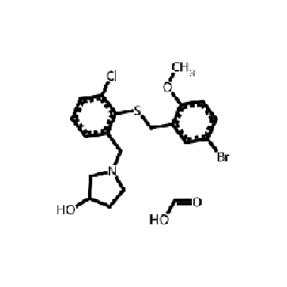 COc1ccc(Br)cc1CSc1c(Cl)cccc1CN1CCC(O)C1.O=CO